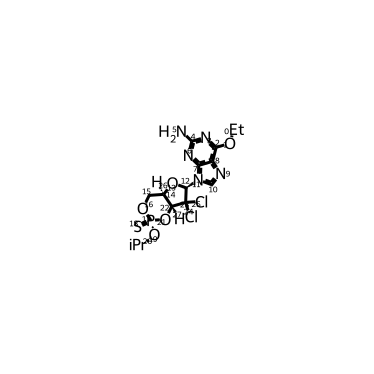 CCOc1nc(N)nc2c1ncn2[C@@H]1O[C@@H]2CO[P@@](=S)(OC(C)C)O[C@H]2C1(Cl)Cl